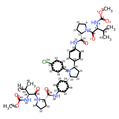 COC(=O)N[C@H](C(=O)N1CCC[C@H]1C(=O)NC1=CCC([C@H]2CC[C@H](c3ccc(NC(=O)[C@@H]4CCCN4C(=O)[C@@H](NC(=O)OC)C(C)C)cc3)N2c2ccc(Cl)cc2)C=C1)C(C)C